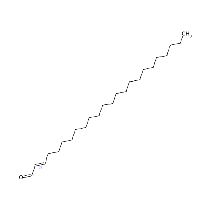 CCCCCCCCCCCCCCCCCCCCC/C=C/[C]=O